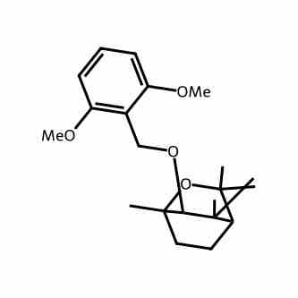 COc1cccc(OC)c1COC1C2(C)CCC(C(C)(C)O2)C1(C)C